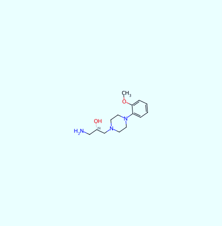 COc1ccccc1N1CCN(C[C@@H](O)CN)CC1